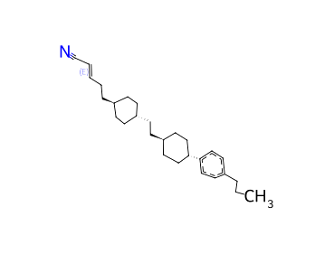 CCCc1ccc([C@H]2CC[C@H](CC[C@H]3CC[C@H](CC/C=C/C#N)CC3)CC2)cc1